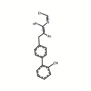 CC/C=N\C(CCC)=C(\Cc1ccc(-c2ccccc2C#N)cc1)C(C)=O